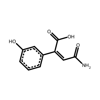 NC(=O)C=C(C(=O)O)c1cccc(O)c1